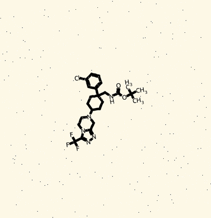 CC(C)(C)OC(=O)NCC1(c2cccc(Cl)c2)CCC(N2CCn3c(nnc3C(F)(F)F)C2)CC1